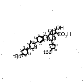 CC(C)(C)c1ccc(-c2cnc(-c3ccc(C[C@H](NC(=O)c4ccc(C(C)(C)C)s4)C(O)N[C@H](CO)C(=O)O)cc3)nc2)cc1